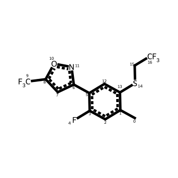 Cc1cc(F)c(-c2cc(C(F)(F)F)on2)cc1SCC(F)(F)F